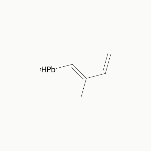 C=CC(C)=[CH][PbH]